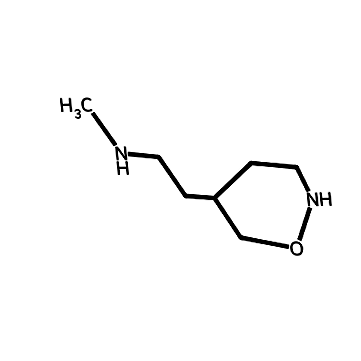 CNCCC1CCNOC1